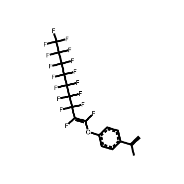 C=C(C)c1ccc(OC(F)=C(F)C(F)(F)C(F)(F)C(F)(F)C(F)(F)C(F)(F)C(F)(F)C(F)(F)F)cc1